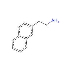 N[CH]Cc1ccc2ccccc2c1